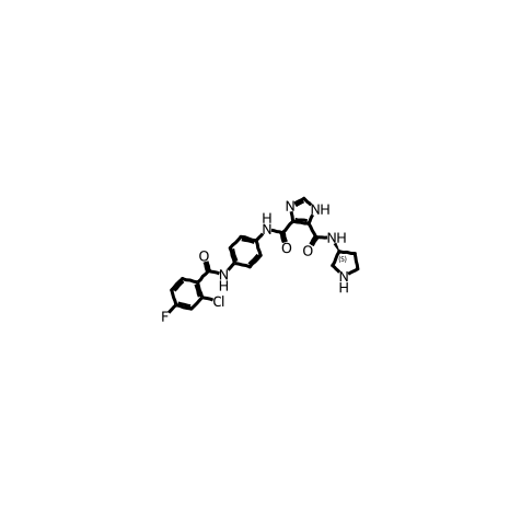 O=C(Nc1ccc(NC(=O)c2nc[nH]c2C(=O)N[C@H]2CCNC2)cc1)c1ccc(F)cc1Cl